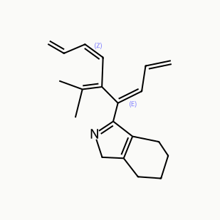 C=C/C=C\C(=C(C)C)/C(=C\C=C)C1=NCC2=C1CCCC2